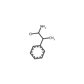 CC(c1ccccc1)C(N)Cl